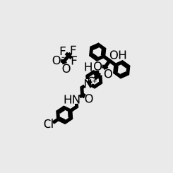 O=C(C[N+]12CCC(CC1)[C@@H](OC(=O)C(O)(c1ccccc1)c1ccccc1)C2)NCc1ccc(Cl)cc1.O=C([O-])C(F)(F)F